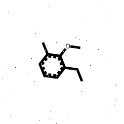 [CH2]Cc1cccc(C)c1OC